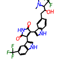 CN(C)C(C(O)Cc1ccc2[nH]cc(C3=C(c4c[nH]c5ccc(C(F)(F)F)cc45)C(=O)NC3=O)c2c1)C(F)(F)F